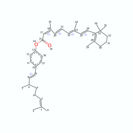 CC(C)=CCCC(C)/C=C/c1ccc(OC(=O)\C=C(C)/C=C/C=C(C)/C=C/C2=C(C)CCCC2(C)C)cc1